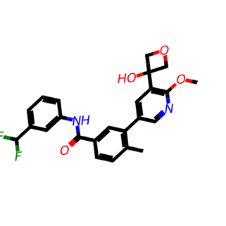 COc1ncc(-c2cc(C(=O)Nc3cccc(C(F)F)c3)ccc2C)cc1C1(O)COC1